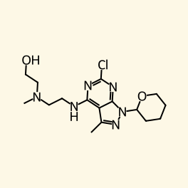 Cc1nn(C2CCCCO2)c2nc(Cl)nc(NCCN(C)CCO)c12